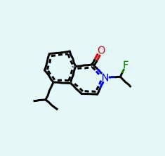 CC(C)c1cccc2c(=O)n(C(C)F)ccc12